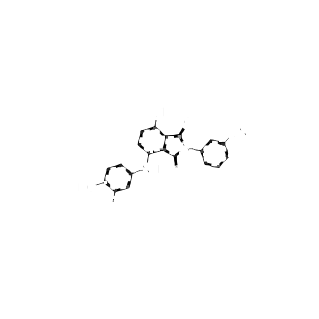 C=c1c2c(Cl)ccc(Nc3ccc(C)c(F)c3)c2c(=C)n1-c1cccc(C#N)c1